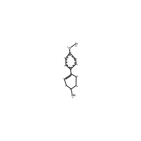 CCCC1CC=C(c2ccc(OCC)cc2)CC1